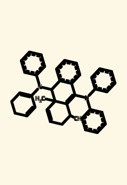 CC1CC=CC2(C)C1=C(N(c1ccccc1)c1ccccc1)c1ccccc1C2N(C1=CCCC=C1)c1ccccc1